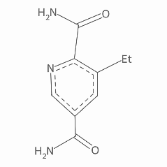 CCc1cc(C(N)=O)cnc1C(N)=O